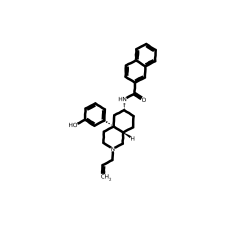 C=CCN1CC[C@@]2(c3cccc(O)c3)C[C@H](NC(=O)c3ccc4ccccc4c3)CC[C@@H]2C1